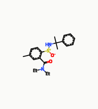 CCN(CC)C(=O)c1cc(C)ccc1[S+]([O-])NC(C)(C)c1ccccc1